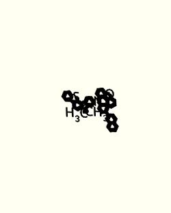 CS1(C)c2cc(N(c3ccc(-c4ccc5ccccc5c4)cc3)c3cccc4oc5ccccc5c34)ccc2-c2c1ccc1c2sc2ccccc21